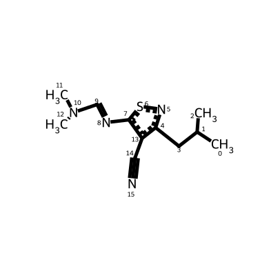 CC(C)Cc1nsc(N=CN(C)C)c1C#N